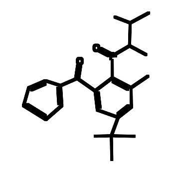 Cc1cc(C(C)(C)C)cc(C(=O)c2ccccc2)c1[P](=O)C(C)C(C)C